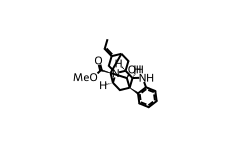 C/C=C1/CN2[C@H]3C[C@@]45c6ccccc6N[C@@H]4[C@@H]2CC1[C@]3(C(=O)OC)[C@H]5O